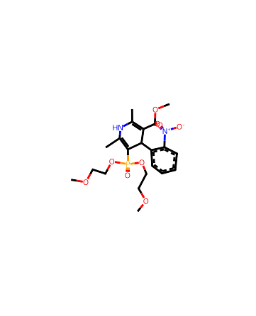 COCCOP(=O)(OCCOC)C1=C(C)NC(C)=C(C(=O)OC)C1c1ccccc1[N+](=O)[O-]